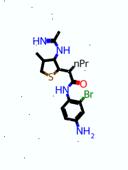 CCCC(C(=O)Nc1ccc(N)cc1Br)C1SCC(C)C1NC(C)=N